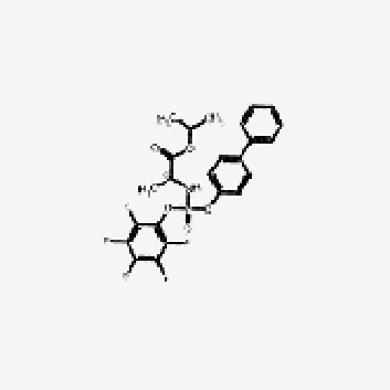 CC(C)OC(=O)[C@H](C)NP(=O)(Oc1ccc(-c2ccccc2)cc1)Oc1c(F)c(F)c(F)c(F)c1F